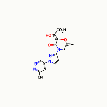 C[C@H]1CN(c2ccn(-c3cnnc(C#N)c3)n2)C(=O)[C@@H]([C@@H](O)C(=O)O)O1